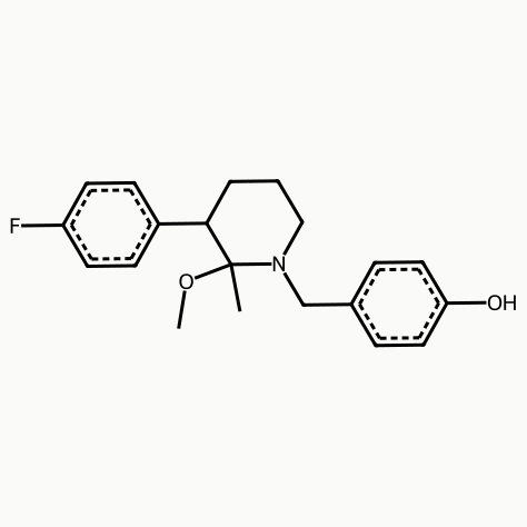 COC1(C)C(c2ccc(F)cc2)CCCN1Cc1ccc(O)cc1